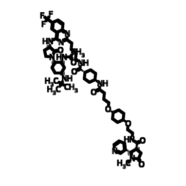 CC(=O)N[C@@H]1C[C@H](NC(C)(C)C)CC[C@@H]1N1CC[C@H](Nc2nc(CCCCNC(=O)[C@H]3CC[C@H](NC(=O)CCCO[C@H]4CC[C@H](OCCNC(=O)[C@H]5CC(=O)N(C)[C@@H]5c5cccnc5)CC4)CC3)nc3ccc(C(F)(F)F)cc23)C1=O